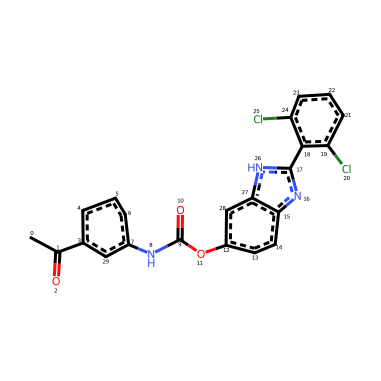 CC(=O)c1cccc(NC(=O)Oc2ccc3nc(-c4c(Cl)cccc4Cl)[nH]c3c2)c1